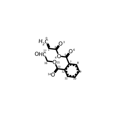 C=CC(=O)OC(=O)c1ccccc1C(=O)OCC=O